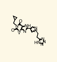 Cn1c(=O)n(CC2CC2)c(=O)c2[nH]c(-c3cnn(CCc4nnn[nH]4)c3)nc21